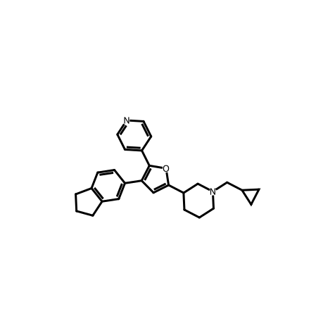 c1cc(-c2oc(C3CCCN(CC4CC4)C3)cc2-c2ccc3c(c2)CCC3)ccn1